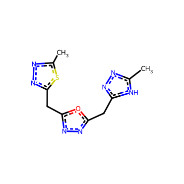 Cc1nnc(Cc2nnc(Cc3nnc(C)s3)o2)[nH]1